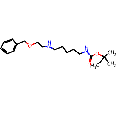 CC(C)(C)OC(=O)NCCCCCNCCOCc1ccccc1